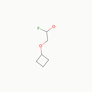 [O]C(F)COC1CCC1